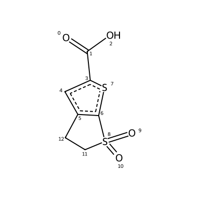 O=C(O)c1cc2c(s1)S(=O)(=O)CC2